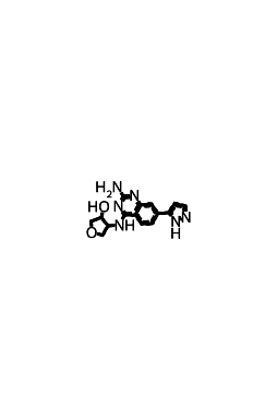 Nc1nc(NC2COCC2O)c2ccc(-c3ccn[nH]3)cc2n1